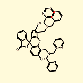 O=C1OC2(c3ccccc31)c1ccc(O)c(CN(Cc3ccccn3)Cc3ccccn3)c1Oc1c2ccc(O)c1CN(Cc1ccccn1)Cc1ccccn1